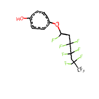 Oc1ccc(OC(F)CC(F)(F)C(F)(F)C(F)(F)C(F)(F)F)cc1